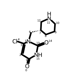 O=c1cc(Cl)n(C[C@H]2CCCNC2)c(=O)[nH]1